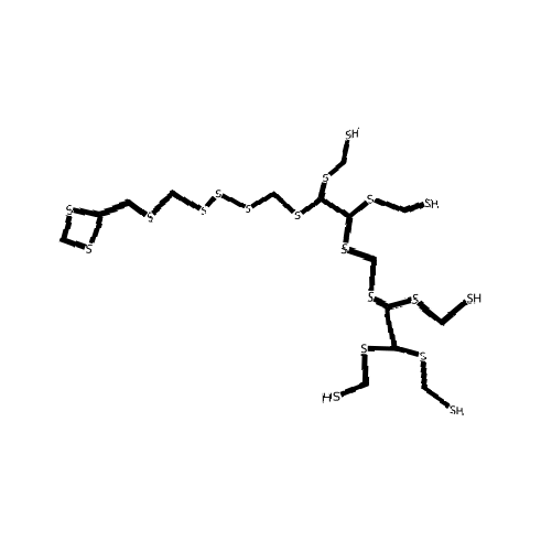 SCSC(SCS)C(SCS)SCSC(SCS)C(SCS)SCSSSCSCC1SCS1